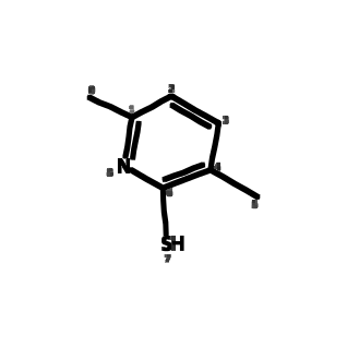 Cc1ccc(C)c(S)n1